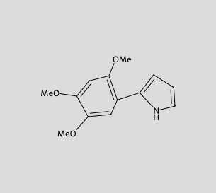 COc1cc(OC)c(-c2ccc[nH]2)cc1OC